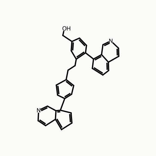 OCc1ccc(-c2cccc3ccncc23)c(CCc2ccc(-c3cccc4ccncc34)cc2)c1